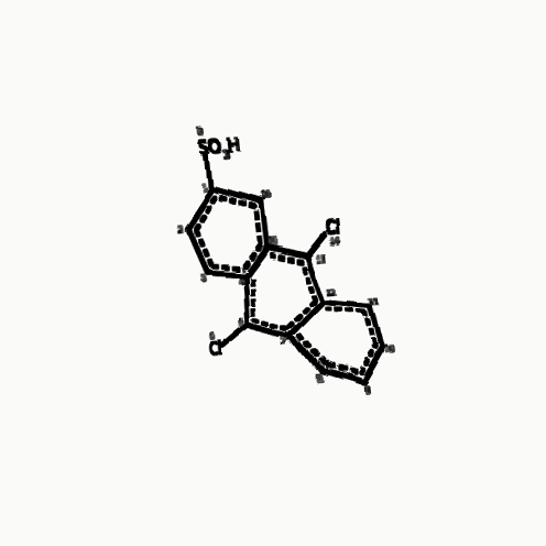 O=S(=O)(O)c1ccc2c(Cl)c3ccccc3c(Cl)c2c1